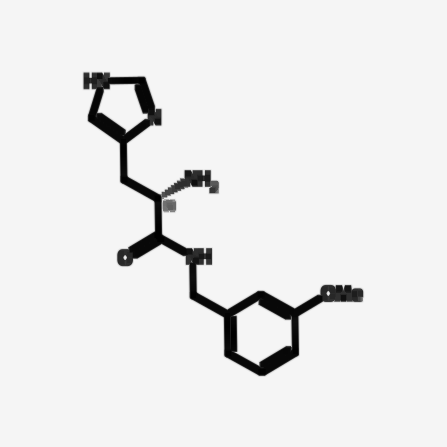 COc1cccc(CNC(=O)[C@@H](N)Cc2c[nH]cn2)c1